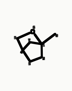 CC12CCC(CO1)C2